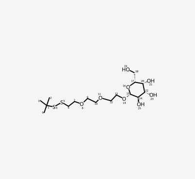 CC(C)(C)SSCCOCCOCCO[C@@H]1O[C@H](CO)[C@H](O)[C@H](O)[C@H]1O